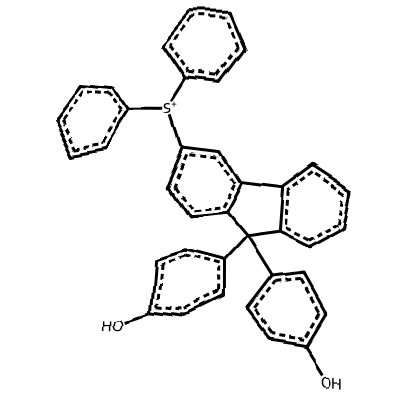 Oc1ccc(C2(c3ccc(O)cc3)c3ccccc3-c3cc([S+](c4ccccc4)c4ccccc4)ccc32)cc1